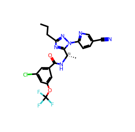 CCCc1nc([C@H](C)NC(=O)c2cc(Cl)cc(OC(F)(F)F)c2)n(-c2ccc(C#N)cn2)n1